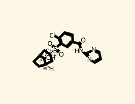 C[C@@]1(O)C2CC[C@@H]1C[C@@H](S(=O)(=O)c1cc(C(=O)Nc3ncccn3)ccc1Cl)C2